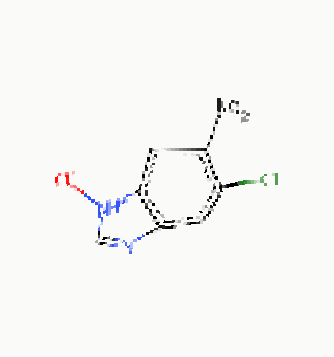 O=[N+]([O-])c1cc2c(cc1Cl)N=C[NH+]2[O-]